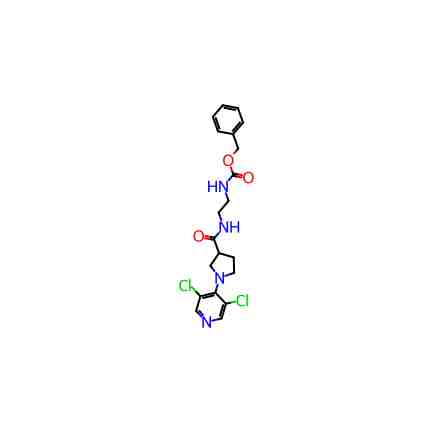 O=C(NCCNC(=O)C1CCN(c2c(Cl)cncc2Cl)C1)OCc1ccccc1